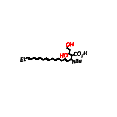 CCC=CCC=CCC=CCC=CCC=CC(CCCC)C(C(=O)O)[C@H](O)CCO